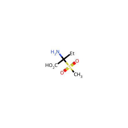 CCC(N)(C(=O)O)S(C)(=O)=O